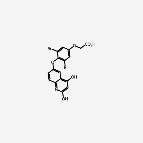 O=C(O)COc1cc(Br)c(Oc2ccc3nc(O)cc(O)c3c2)c(Br)c1